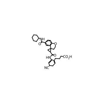 N#CC1C=C(NC(=O)C2CC23CCOc2ccc(C(=O)NC4CCCCC4)cc23)C(CCCC(=O)O)=CC1